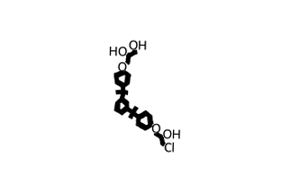 CC(C)(c1ccc(OCC(O)CO)cc1)c1cccc(C(C)(C)c2ccc(OCC(O)CCl)cc2)c1